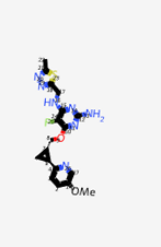 COc1ccc([C@H]2C[C@@H]2COc2nc(N)nc(NCc3nnc(C)s3)c2F)nc1